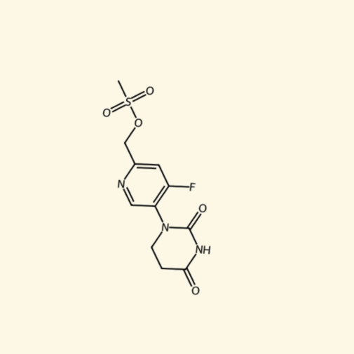 CS(=O)(=O)OCc1cc(F)c(N2CCC(=O)NC2=O)cn1